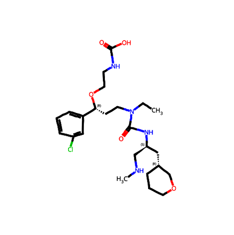 CCN(CC[C@@H](OCCNC(=O)O)c1cccc(Cl)c1)C(=O)N[C@H](CNC)C[C@H]1CCCOC1